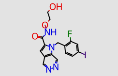 O=C(NOCCO)c1cc2cnncc2n1Cc1ccc(I)cc1F